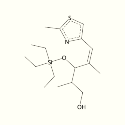 CC[Si](CC)(CC)OC(C(C)=Cc1csc(C)n1)C(C)CO